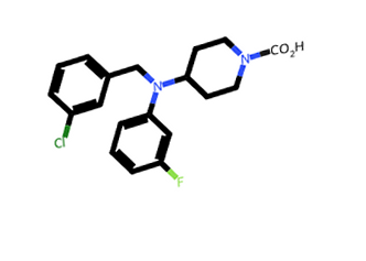 O=C(O)N1CCC(N(Cc2cccc(Cl)c2)c2cccc(F)c2)CC1